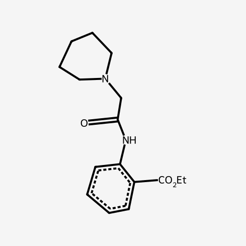 CCOC(=O)c1ccccc1NC(=O)CN1CCCCC1